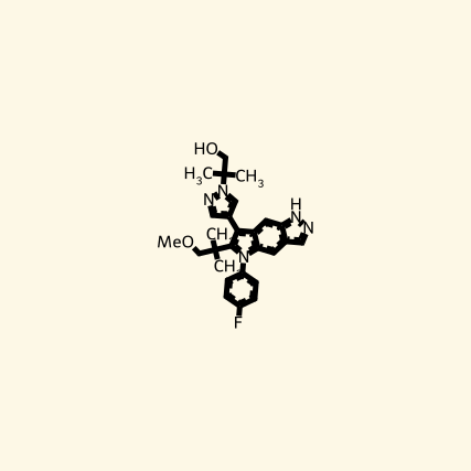 COCC(C)(C)c1c(-c2cnn(C(C)(C)CO)c2)c2cc3[nH]ncc3cc2n1-c1ccc(F)cc1